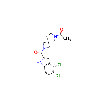 CC(=O)N1CCC2(C1)CN(C(=O)c1cc3c(Cl)c(Cl)ccc3[nH]1)C2